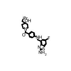 CC(C)CC1(O)CCN(C(=O)c2ccc(NCc3cc(F)cc4sc(N)nc34)cc2)CC1